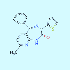 Cc1ccc2c(n1)NC(=O)C(c1cccs1)N=C2c1ccccc1